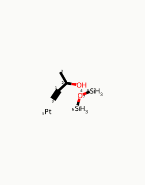 C#CC(C)O.[Pt].[SiH3]O[SiH3]